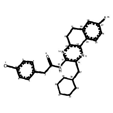 O=C(Cc1ccc(Cl)cc1)Nc1nc2c(nc1CC1CCCCC1)-c1ccc(F)cc1CC2